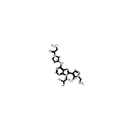 CCC(=O)N1CC[C@H](Oc2ncnc3c2nc(-c2cnn(CC)c2C)n3CC(F)F)C1